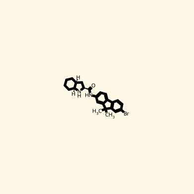 CC1(C)c2cc(Br)ccc2-c2ccc(NC(=O)[C@@H]3C[C@@H]4CCCC[C@@H]4N3)cc21